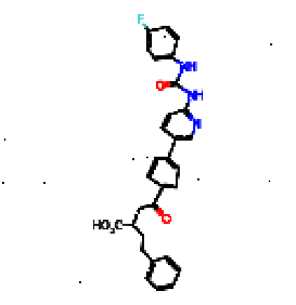 O=C(Nc1ccc(F)cc1)Nc1ccc(-c2ccc(C(=O)CC(CCc3ccccc3)C(=O)O)cc2)cn1